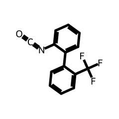 O=C=Nc1ccccc1-c1ccccc1C(F)(F)F